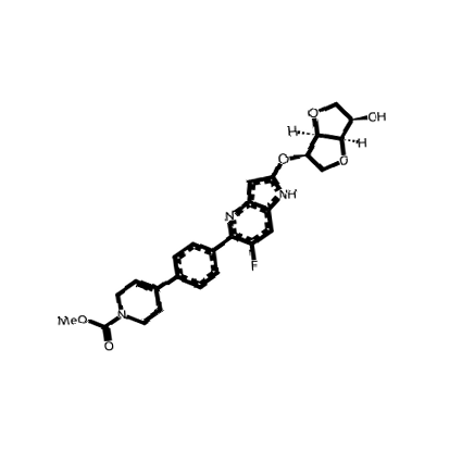 COC(=O)N1CC=C(c2ccc(-c3nc4cc(O[C@@H]5CO[C@H]6[C@@H]5OC[C@H]6O)[nH]c4cc3F)cc2)CC1